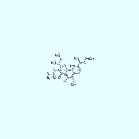 O=C(Nc1c(I)c(CO)c(I)c(C(=O)N(CC(O)CO)CC(O)CO)c1I)C(O)CCO